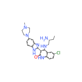 CC[C@@H](N)CNc1c(-c2nc3cc(N4CCN(C)CC4)ccc3[nH]2)c(=O)[nH]c2ccc(Cl)cc12